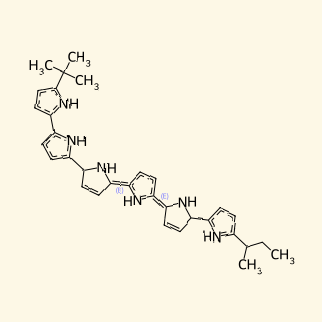 CCC(C)c1ccc(C2C=C/C(=c3/cc/c(=C4/C=CC(c5ccc(-c6ccc(C(C)(C)C)[nH]6)[nH]5)N4)[nH]3)N2)[nH]1